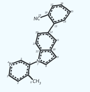 Cc1ccncc1-n1ccc2cc(-c3ccccc3C#N)ccc21